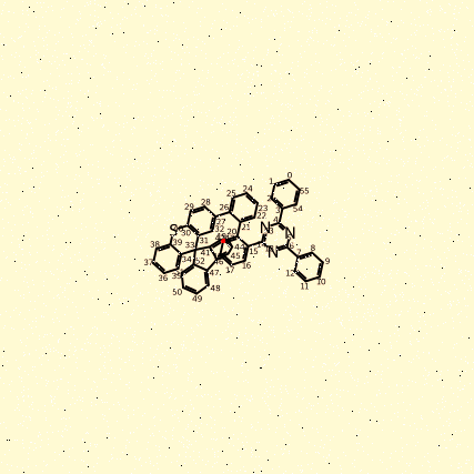 c1ccc(-c2nc(-c3ccccc3)nc(-c3ccccc3-c3ccccc3-c3ccc4c(c3)C3(c5ccccc5S4)c4ccccc4-c4ccccc43)n2)cc1